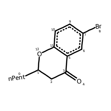 CCCCCC1CC(=O)c2cc(Br)ccc2O1